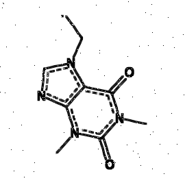 [CH2]Cn1cnc2c1c(=O)n(C)c(=O)n2C